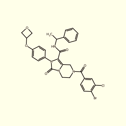 CC(NC(=O)c1c2n(c(=O)n1-c1ccc(OC3COC3)cc1)CCN(C(=O)c1ccc(Br)c(Cl)c1)C2)c1ccccc1